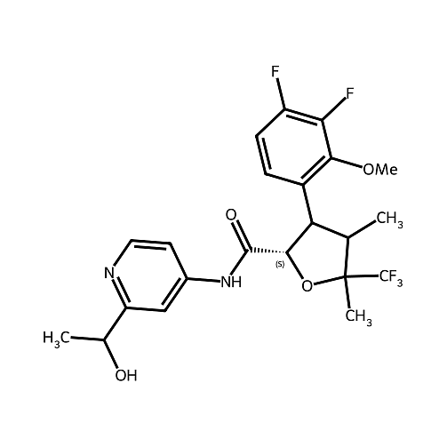 COc1c(C2C(C)C(C)(C(F)(F)F)O[C@@H]2C(=O)Nc2ccnc(C(C)O)c2)ccc(F)c1F